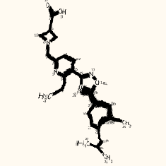 CCc1nc(CN2CC(C(=O)O)C2)ccc1-c1noc(-c2ccc(CC(C)C)c(C)c2)n1